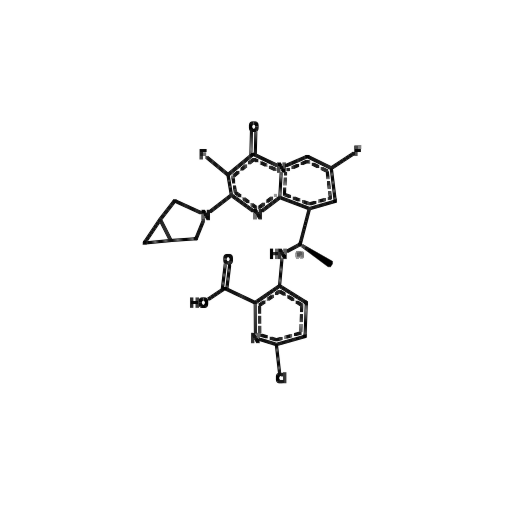 C[C@@H](Nc1ccc(Cl)nc1C(=O)O)c1cc(F)cn2c(=O)c(F)c(N3CC4CC4C3)nc12